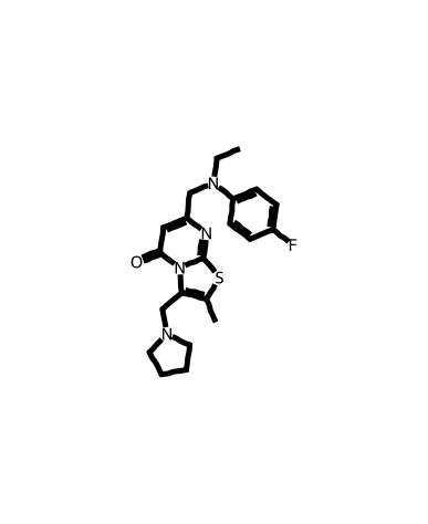 CCN(Cc1cc(=O)n2c(CN3CCCC3)c(C)sc2n1)c1ccc(F)cc1